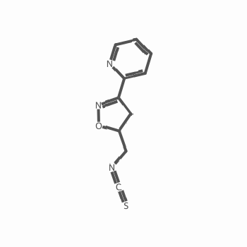 S=C=NCC1CC(c2ccccn2)=NO1